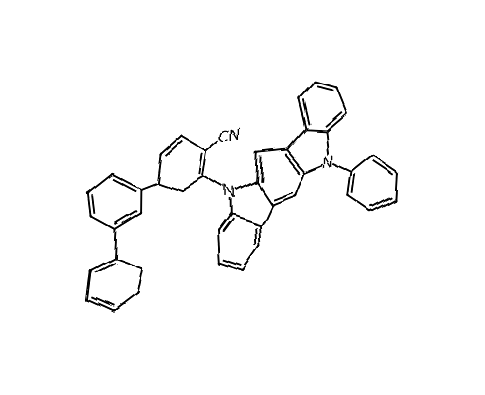 N#CC1=C(n2c3ccccc3c3cc4c(cc32)c2ccccc2n4-c2ccccc2)CC(c2cccc(C3=CC=CCC3)c2)C=C1